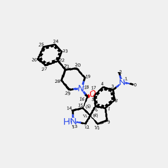 CN(C)c1ccc2c(c1)CC[C@]21CNC[C@H]1C(=O)N1CCC(c2ccccc2)CC1